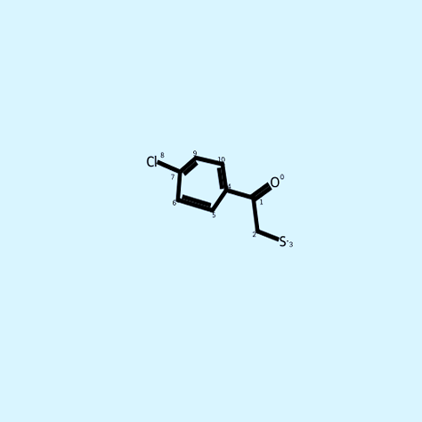 O=C(C[S])c1ccc(Cl)cc1